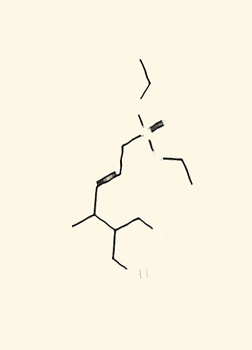 CCOP(=O)(C/C=C/C(C)C(CO)CO)OCC